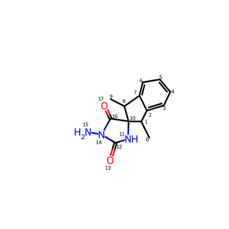 CC1c2ccccc2C(C)C12NC(=O)N(N)C2=O